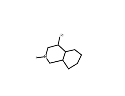 CC(C)C1CN(I)CC2CCCCC21